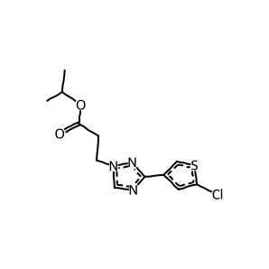 CC(C)OC(=O)CCn1cnc(-c2csc(Cl)c2)n1